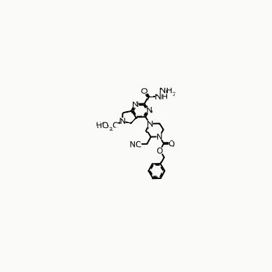 N#CCC1CN(c2nc(C(=O)NN)nc3c2CN(C(=O)O)C3)CCN1C(=O)OCc1ccccc1